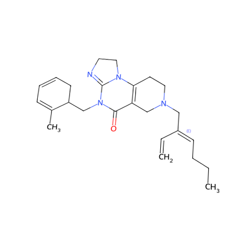 C=C/C(=C\CCC)CN1CCC2=C(C1)C(=O)N(CC1CC=CC=C1C)C1=NCCN12